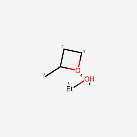 CC1CCO1.CCO